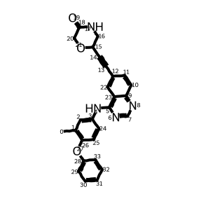 Cc1cc(Nc2ncnc3ccc(C#CC4CNC(=O)CO4)cc23)ccc1Oc1ccccc1